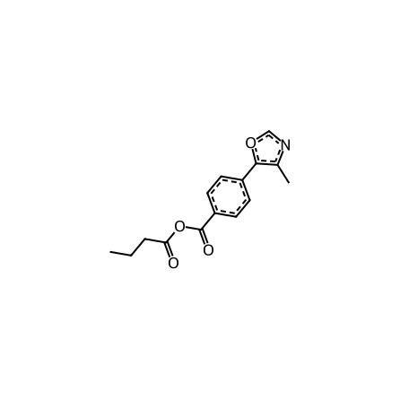 CCCC(=O)OC(=O)c1ccc(-c2ocnc2C)cc1